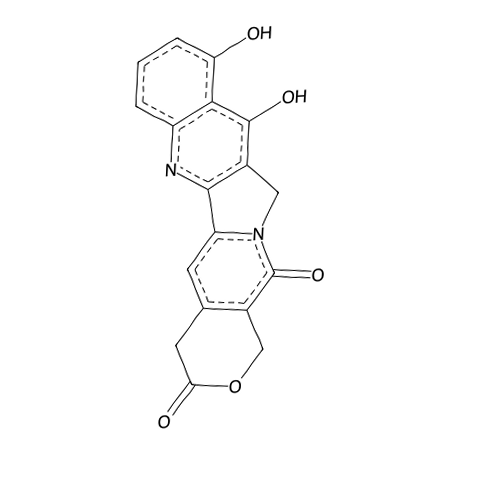 O=C1Cc2cc3n(c(=O)c2CO1)Cc1c-3nc2cccc(O)c2c1O